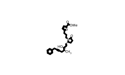 COC(=O)c1ccc(CCCN2C(=O)CC[C@@H]2C=C[C@@H](O)[C@H](C)CC#CCc2ccccc2)s1